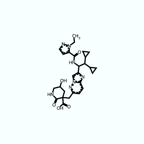 CCn1nccc1C(=O)NC(c1cn2nc(CC3(C(=O)O)CC(O)CNC3=O)ccc2n1)C(C1CC1)C1CC1